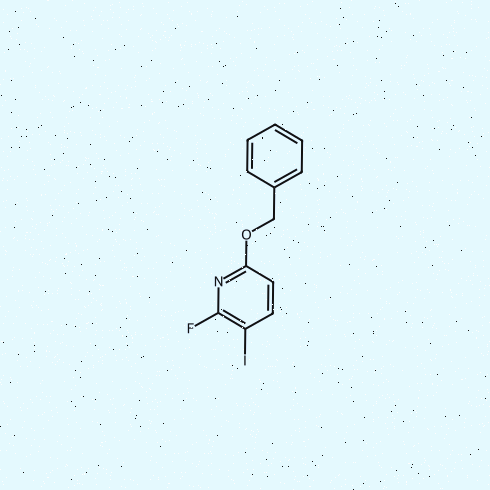 Fc1nc(OCc2ccccc2)ccc1I